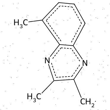 [CH2]c1nc2cccc(C)c2nc1C